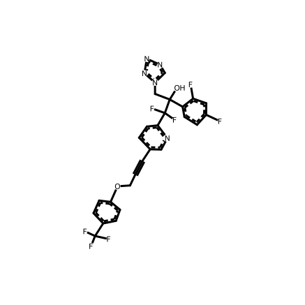 OC(Cn1cnnn1)(c1ccc(F)cc1F)C(F)(F)c1ccc(C#CCOc2ccc(C(F)(F)F)cc2)cn1